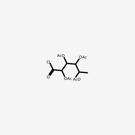 CC(=O)OC(C)C(OC(C)=O)C(OC(C)=O)C(OC(C)=O)C(=O)Cl